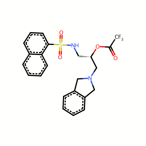 O=C(O[C@@H](CNS(=O)(=O)c1cccc2ccccc12)CN1Cc2ccccc2C1)C(F)(F)F